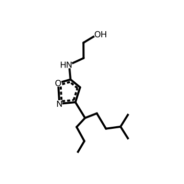 CCCC(CCC(C)C)c1cc(NCCO)on1